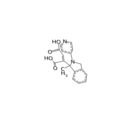 CC1(C(=CC(=O)O)C(=O)O)c2ccccc2CN1c1ccncc1